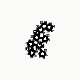 c1ccc(-c2nc(-c3ccccc3-c3cccc4oc5cc6ccc7ccccc7c6cc5c34)nc(-c3cccc4oc5ccccc5c34)n2)cc1